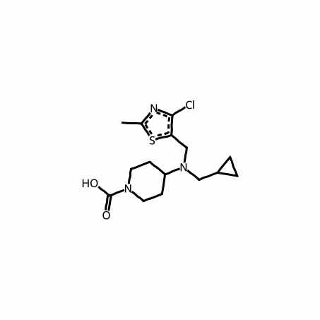 Cc1nc(Cl)c(CN(CC2CC2)C2CCN(C(=O)O)CC2)s1